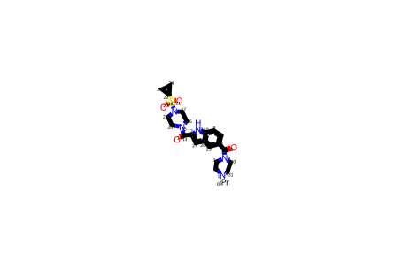 CC(C)N1CCN(C(=O)c2ccc3[nH]c(C(=O)N4CCN(S(=O)(=O)C5CC5)CC4)cc3c2)CC1